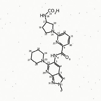 Cn1cc2cc(NC(=O)c3cccc(N4CCC(NC(=O)O)C4)n3)c(N3CCCCC3)nc2n1